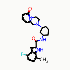 Cc1ccc(F)c2cc(C(=O)N[C@@H]3CCC[C@H](N4CCn5c(cccc5=O)C4)C3)[nH]c12